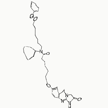 O=C1CN2Cc3cc(OCCCCCCC(=O)N(CCCCCCOOc4ccccc4)C4CCCCC4)ccc3N=C2N1